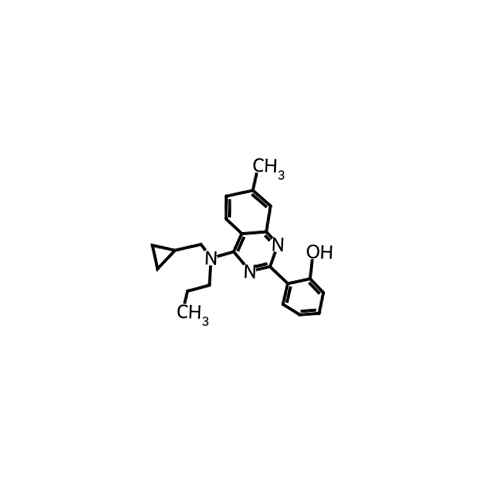 CCCN(CC1CC1)c1nc(-c2ccccc2O)nc2cc(C)ccc12